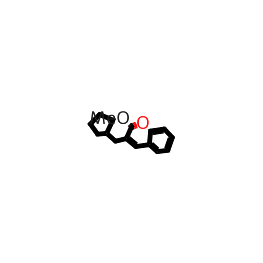 COC(=O)C(=Cc1ccccc1)CC1CCCC1